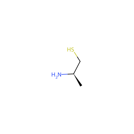 C[C@@H](N)CS